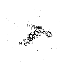 CC(=O)Nc1cn2nc(-c3cnc(NCCN4CCOCC4)c(N(C)C)c3)ccc2n1